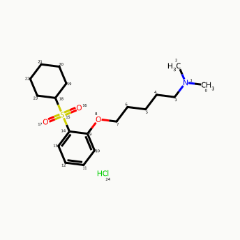 CN(C)CCCCCOc1ccccc1S(=O)(=O)C1CCCCC1.Cl